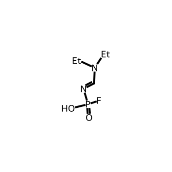 CCN(C=NP(=O)(O)F)CC